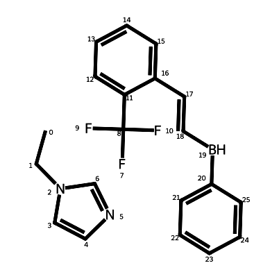 CCn1ccnc1.FC(F)(F)c1ccccc1C=CBc1ccccc1